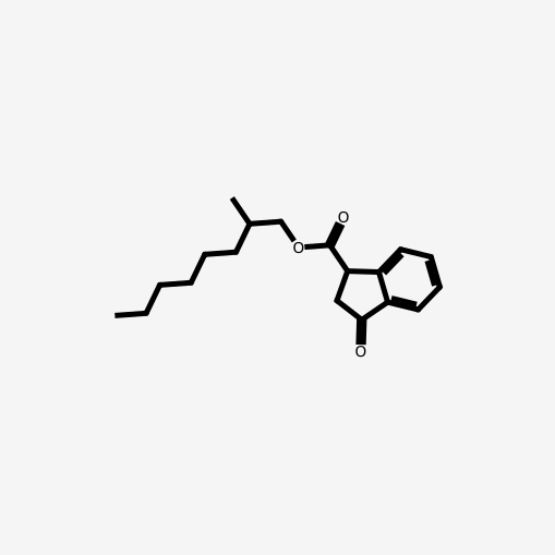 CCCCCCC(C)COC(=O)C1CC(=O)c2ccccc21